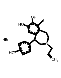 Br.C=CCN1CCc2c(cc(O)c(O)c2I)C(c2ccc(O)cc2)C1